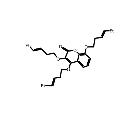 CCC=CCCOc1c(OCCC=CCC)c2cccc(OCCC=CCC)c2oc1=O